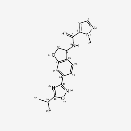 Cn1nccc1C(=O)NC1COc2cc(-c3noc(C(F)F)n3)ccc21